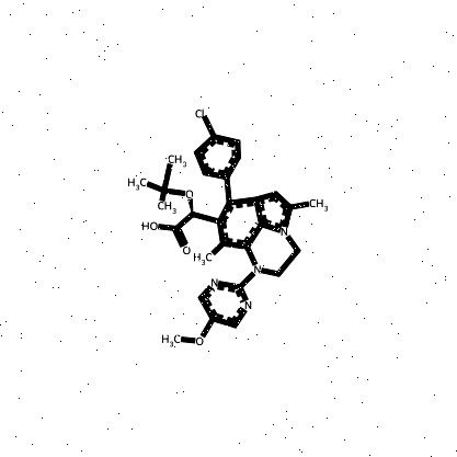 COc1cnc(N2CCn3c(C)cc4c(-c5ccc(Cl)cc5)c([C@H](OC(C)(C)C)C(=O)O)c(C)c2c43)nc1